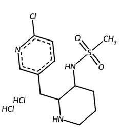 CS(=O)(=O)NC1CCCNC1Cc1ccc(Cl)nc1.Cl.Cl